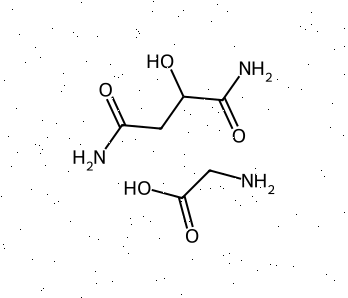 NC(=O)CC(O)C(N)=O.NCC(=O)O